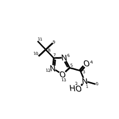 CN(O)C(=O)c1nc(C(C)(C)C)no1